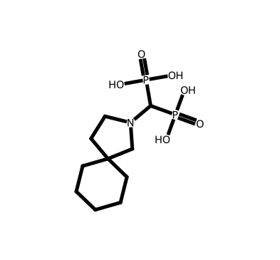 O=P(O)(O)C(N1CCC2(CCCCC2)C1)P(=O)(O)O